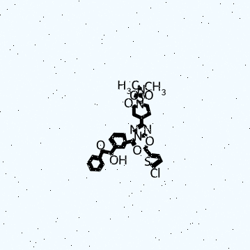 CN(C)S(=O)(=O)N1CCC(c2nc(OCc3ccc(Cl)s3)n(C(=O)c3cccc(C(O)C(=O)c4ccccc4)c3)n2)CC1=O